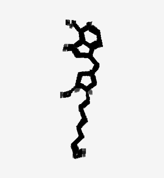 Nc1ncnc2c(CN3C[C@H](CSCCCCO)[C@H](O)C3)c[nH]c12